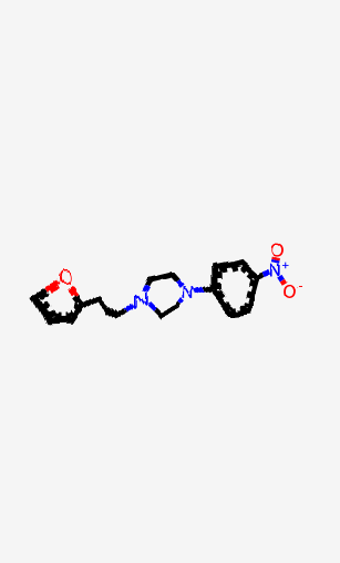 O=[N+]([O-])c1ccc(N2CCN(CCc3ccco3)CC2)cc1